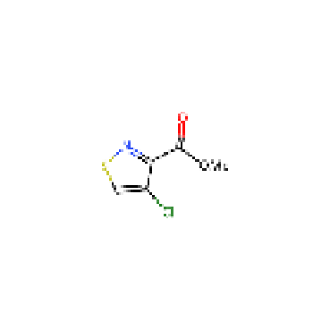 COC(=O)c1nscc1Cl